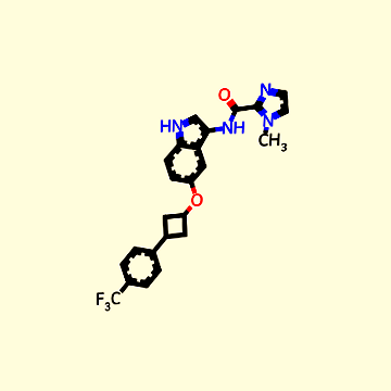 Cn1ccnc1C(=O)Nc1c[nH]c2ccc(OC3CC(c4ccc(C(F)(F)F)cc4)C3)cc12